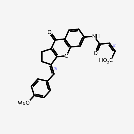 COc1ccc(/C=C2\CCc3c2oc2cc(NC(=O)/C=C\C(=O)O)ccc2c3=O)cc1